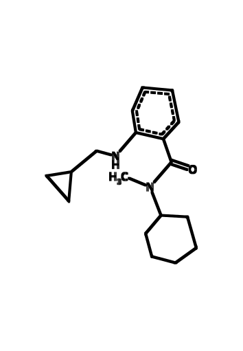 CN(C(=O)c1ccccc1NCC1CC1)C1CCCCC1